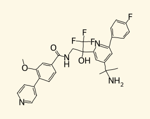 COc1cc(C(=O)NCC(O)(c2cc(C(C)(C)N)cc(-c3ccc(F)cc3)n2)C(F)(F)F)ccc1-c1ccncc1